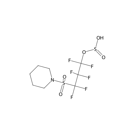 O=S(O)OC(F)(F)C(F)(F)C(F)(F)S(=O)(=O)N1CCCCC1